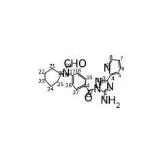 Nc1nc(-c2ccccn2)nn1C(=O)c1ccc(N(C=O)C2CCCCC2)cc1